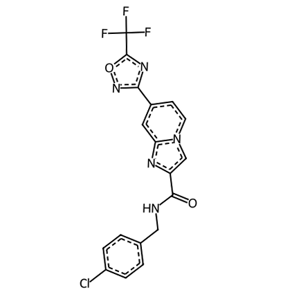 O=C(NCc1ccc(Cl)cc1)c1cn2ccc(-c3noc(C(F)(F)F)n3)cc2n1